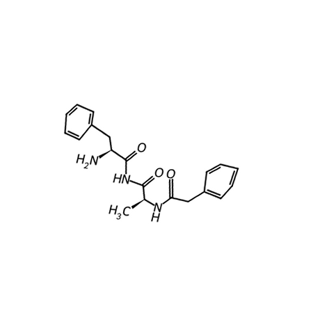 C[C@H](NC(=O)Cc1ccccc1)C(=O)NC(=O)[C@@H](N)Cc1ccccc1